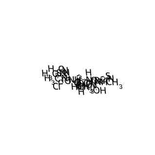 Cc1ncsc1-c1ccc(CNC(=O)[C@@H]2C[C@@H](O)CN2C(=O)[C@@H](NC(=O)CCc2ccccc2B2O[C@H]3C[C@H]4C[C@H](C4(C)C)[C@@]3(CCCNC(=O)C[C@@H]3N=C(c4ccc(Cl)cc4)c4c(sc(C)c4C)-n4c(C)nnc43)O2)C(C)(C)C)cc1